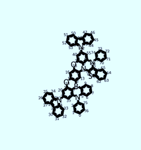 c1ccc(N2c3ccccc3B3c4cc5c(cc4Oc4cc(-n6c7ccccc7c7ccccc76)cc2c43)Oc2cc(-n3c4ccccc4c4ccccc43)cc3c2N5c2sc4ccccc4c2N3c2ccccc2)cc1